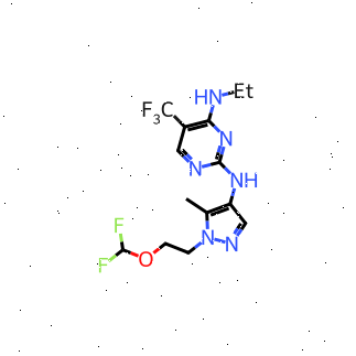 CCNc1nc(Nc2cnn(CCOC(F)F)c2C)ncc1C(F)(F)F